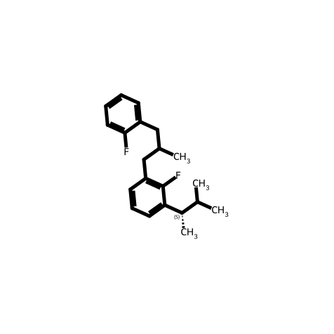 CC(Cc1ccccc1F)Cc1cccc([C@@H](C)C(C)C)c1F